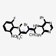 CC(C)c1ncnc(C(C)C)c1N/C(C=O)=C(Br)/C=C(\N(C)c1c(F)cccc1[N+](=O)[O-])C(F)(F)F